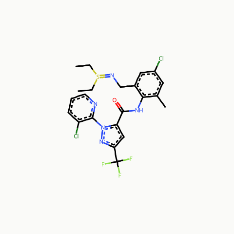 CCS(CC)=NCc1cc(Cl)cc(C)c1NC(=O)c1cc(C(F)(F)F)nn1-c1ncccc1Cl